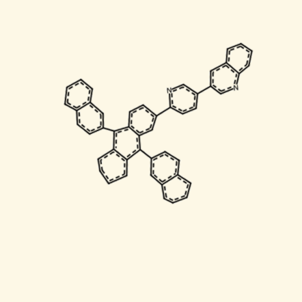 c1ccc2cc(-c3c4ccccc4c(-c4ccc5ccccc5c4)c4cc(-c5ccc(-c6cnc7ccccc7c6)cn5)ccc34)ccc2c1